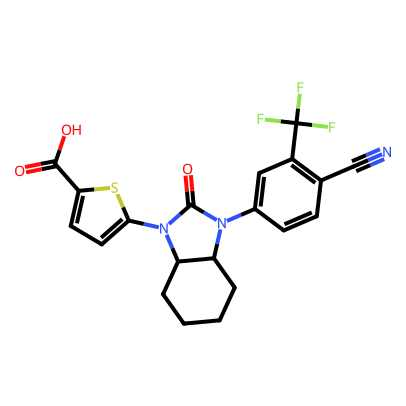 N#Cc1ccc(N2C(=O)N(c3ccc(C(=O)O)s3)C3CCCCC32)cc1C(F)(F)F